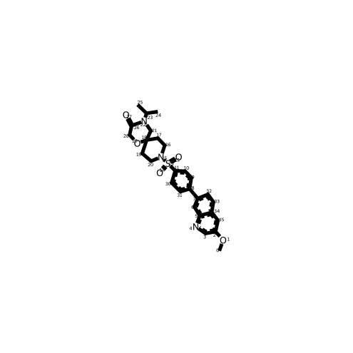 COc1cnc2cc(-c3ccc(S(=O)(=O)N4CCC5(CC4)CN(C(C)C)C(=O)CO5)cc3)ccc2c1